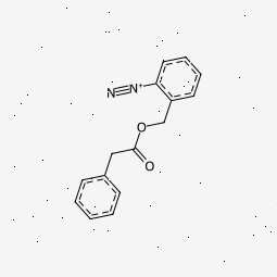 N#[N+]c1ccccc1COC(=O)Cc1ccccc1